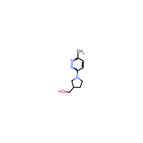 Cc1ccc(N2CCC(CO)C2)nn1